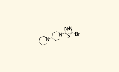 Brc1nnc(N2CCC(N3CCCCC3)CC2)s1